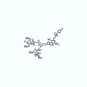 C[C@@H](OC(C)(C)C)[C@H](NC(=O)OC(C)(C)C)C(=O)NCCC(=O)OC[C@H](COc1ccc(-c2c(C#N)c(N)nc(SCc3coc(-c4ccc(Cl)cc4)n3)c2C#N)cc1)OC(=O)CCNC(=O)[C@@H](NC(=O)OC(C)(C)C)[C@@H](C)OC(C)(C)C